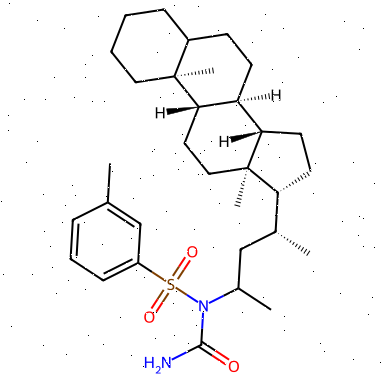 Cc1cccc(S(=O)(=O)N(C(N)=O)C(C)C[C@@H](C)[C@H]2CC[C@H]3[C@@H]4CCC5CCCC[C@]5(C)[C@H]4CC[C@]23C)c1